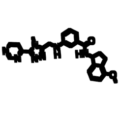 COc1cccc2c1CCC2NC(=O)c1cccc(NCc2nnc(-c3ccncn3)n2C)c1